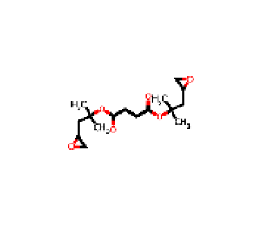 CC(C)(CC1CO1)OC(=O)CCC(=O)OC(C)(C)CC1CO1